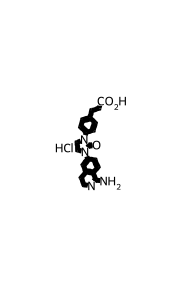 Cl.NC1=NCCc2cc(N3CCN(c4ccc(CCC(=O)O)cc4)C3=O)ccc21